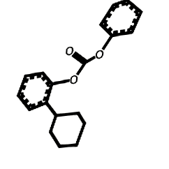 O=C(Oc1ccccc1)Oc1ccccc1C1CCCCC1